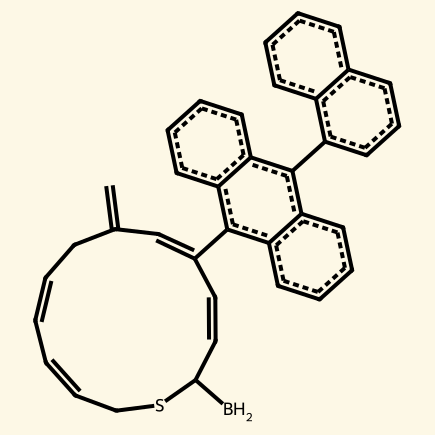 BC1/C=C\C(c2c3ccccc3c(-c3cccc4ccccc34)c3ccccc23)=C/C(=C)C/C=C\C=C/CS1